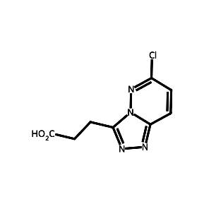 O=C(O)CCc1nnc2ccc(Cl)nn12